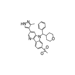 Cc1n[nH]cc1-c1cnc2c3ccc(S(C)(=O)=O)cc3n(C(c3ccccc3)C3CCOCC3)c2c1